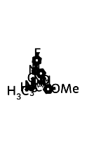 COc1cccc([C@@H](Oc2ccc3c(cnn3-c3ccc(F)cc3)c2)[C@H](C)NC(=O)c2nc(C)cs2)c1